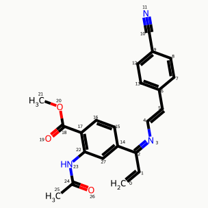 C=CC(=NC=Cc1ccc(C#N)cc1)c1ccc(C(=O)OC)c(NC(C)=O)c1